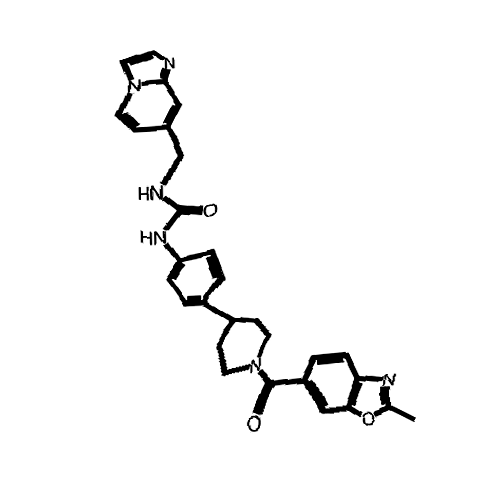 Cc1nc2ccc(C(=O)N3CCC(c4ccc(NC(=O)NCc5ccn6ccnc6c5)cc4)CC3)cc2o1